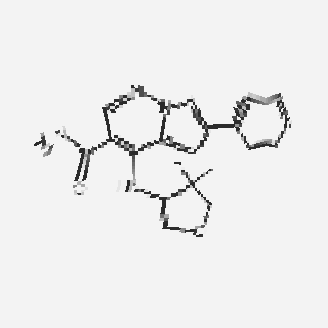 CC1(F)COCC1Nc1c(C(N)=O)cnn2cc(-c3ccncc3)cc12